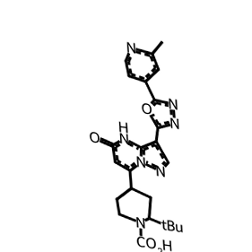 Cc1cc(-c2nnc(-c3cnn4c(C5CCN(C(=O)O)C(C(C)(C)C)C5)cc(=O)[nH]c34)o2)ccn1